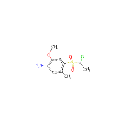 COc1cc(S(=O)(=O)C(C)Cl)c(C)cc1N